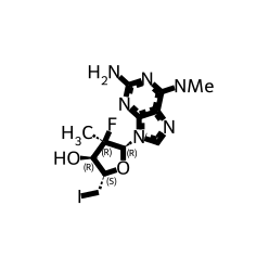 CNc1nc(N)nc2c1ncn2[C@@H]1O[C@H](CI)[C@@H](O)[C@@]1(C)F